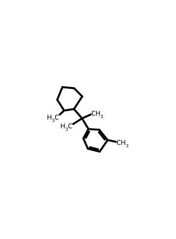 Cc1cccc(C(C)(C)C2CCCCC2C)c1